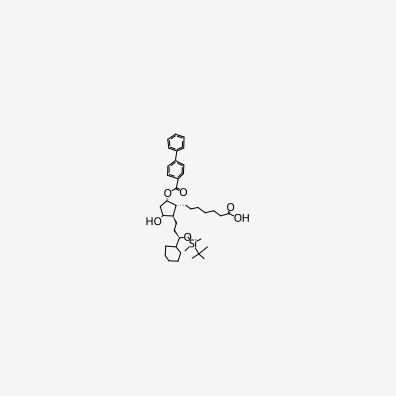 CC(C)(C)[Si](C)(C)O[C@H](CC[C@H]1C(O)C[C@H](OC(=O)c2ccc(-c3ccccc3)cc2)[C@@H]1CCCCCCC(=O)O)C1CCCCC1